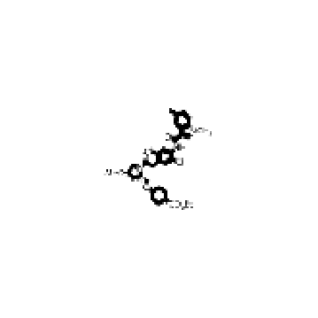 CCOC(=O)C1CCC(OC[C@@H]2C[C@H](OC)CN2C(=O)Cc2cc(Cl)c(NC(=O)c3cn(C)c4ccc(I)cc34)cc2Cl)CC1